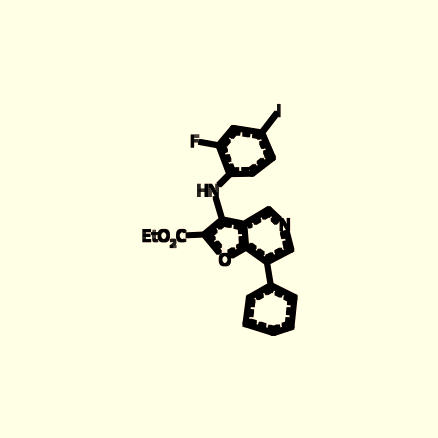 CCOC(=O)c1oc2c(-c3ccccc3)cncc2c1Nc1ccc(I)cc1F